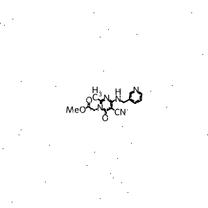 COC(=O)Cn1c(C)nc(NCc2cccnc2)c(C#N)c1=O